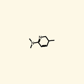 CC1C=CC(N(C)C)=NC1